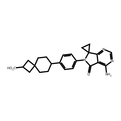 Nc1ncnc2c1C(=O)N(c1ccc(C3CCC4(CC3)CC(C(=O)O)C4)cc1)C21CC1